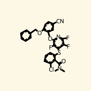 CN(C)C(=O)c1c(Cl)cccc1Sc1c(F)c(F)nc(Oc2cc(C#N)ccc2OCc2ccccc2)c1F